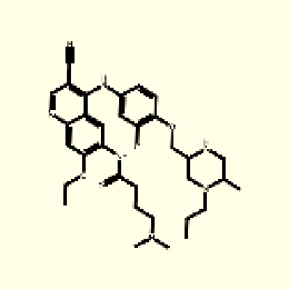 CCCN1CC(COc2ccc(Nc3c(C#N)cnc4cc(OCC)c(NC(=O)CCCN(C)C)cc34)cc2Cl)NCC1C